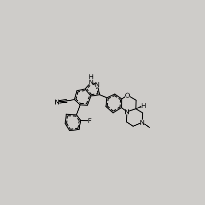 CN1CCN2c3ccc(-c4n[nH]c5cc(C#N)c(-c6ccccc6F)cc45)cc3OC[C@@H]2C1